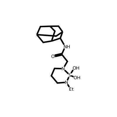 CCN1CCCN(CC(=O)NC2C3CC4CC(C3)CC2C4)S1(O)O